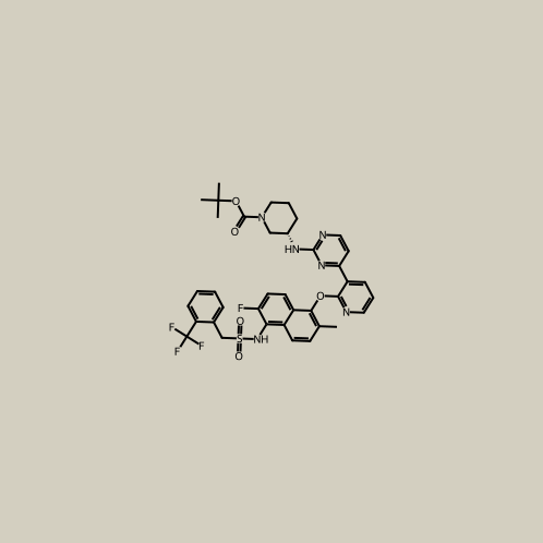 Cc1ccc2c(NS(=O)(=O)Cc3ccccc3C(F)(F)F)c(F)ccc2c1Oc1ncccc1-c1ccnc(N[C@H]2CCCN(C(=O)OC(C)(C)C)C2)n1